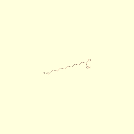 CCCCCCCCCCCCCCCCC(O)CC